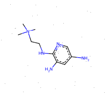 C[N+](C)(C)CCNc1ncc(N)cc1N